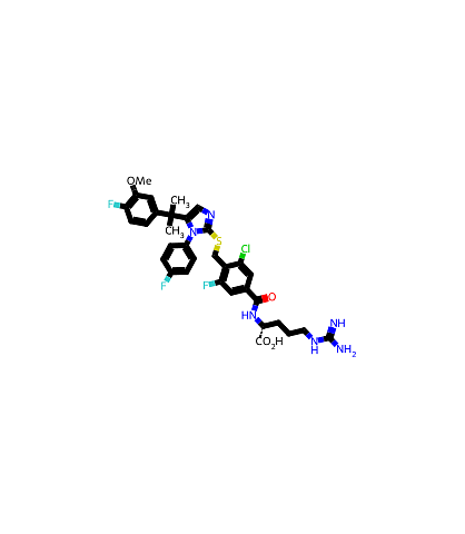 COc1cc(C(C)(C)c2cnc(SCc3c(F)cc(C(=O)N[C@H](CCCNC(=N)N)C(=O)O)cc3Cl)n2-c2ccc(F)cc2)ccc1F